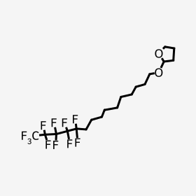 FC(F)(F)C(F)(F)C(F)(F)C(F)(F)C(F)(F)CCCCCCCCCCOC1CCCO1